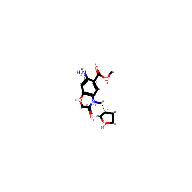 COC(=O)c1cc2c(cc1N)OCC(=O)N2C[C@@H]1CCOC1